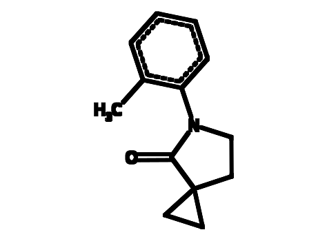 Cc1ccccc1N1CCC2(CC2)C1=O